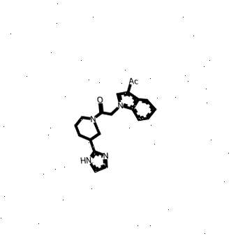 CC(=O)c1cn(CC(=O)N2CCCC(c3ncc[nH]3)C2)c2ccccc12